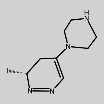 I[C@@H]1CC(N2CCNCC2)=CN=N1